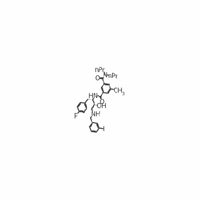 CCCN(CCC)C(=O)c1cc(C)cc(C(=O)N[C@@H](Cc2ccc(F)cc2)[C@H](O)CNCc2cccc(I)c2)c1